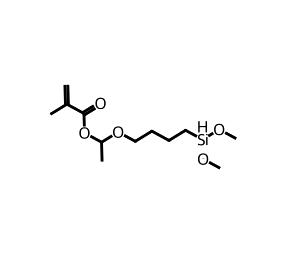 C=C(C)C(=O)OC(C)OCCCC[SiH](OC)OC